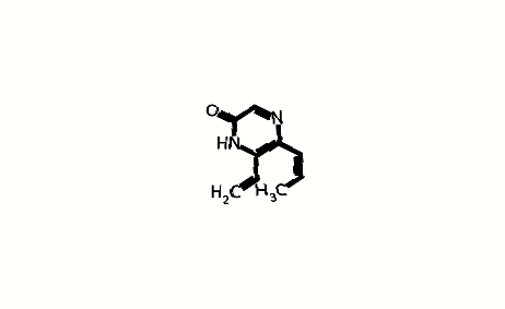 C=Cc1[nH]c(=O)cnc1/C=C\C